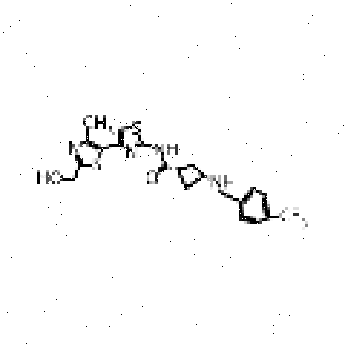 Cc1nc(CO)sc1-c1csc(NC(=O)[C@H]2C[C@@H](NCc3ccc(C(F)(F)F)cc3)C2)n1